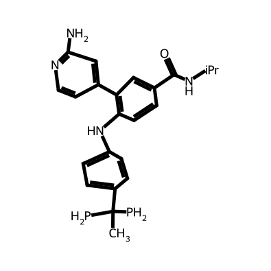 CC(C)NC(=O)c1ccc(Nc2ccc(C(C)(P)P)cc2)c(-c2ccnc(N)c2)c1